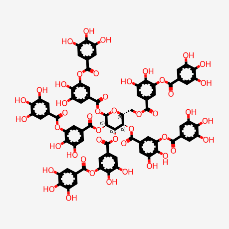 O=C(OC[C@H]1OC(OC(=O)c2cc(O)c(O)c(OC(=O)c3cc(O)c(O)c(O)c3)c2)[C@@H](OC(=O)c2cc(O)c(O)c(OC(=O)c3cc(O)c(O)c(O)c3)c2)[C@@H](OC(=O)c2cc(O)c(O)c(OC(=O)c3cc(O)c(O)c(O)c3)c2)[C@H]1OC(=O)c1cc(O)c(O)c(OC(=O)c2cc(O)c(O)c(O)c2)c1)c1cc(O)c(O)c(OC(=O)c2cc(O)c(O)c(O)c2)c1